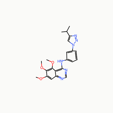 COc1cc2ncnc(Nc3cc[c]c(-n4cc(C(C)C)nn4)c3)c2c(OC)c1OC